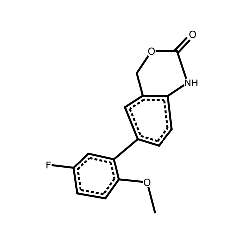 COc1ccc(F)cc1-c1ccc2c(c1)COC(=O)N2